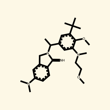 COCCN(C)c1cc(C(C)N2Cc3cc(N(C)C)ccc3C2=N)cc(C(C)(C)C)c1OC